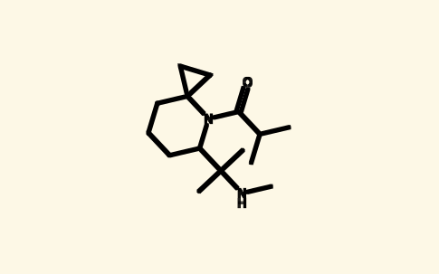 CNC(C)(C)C1CCCC2(CC2)N1C(=O)C(C)C